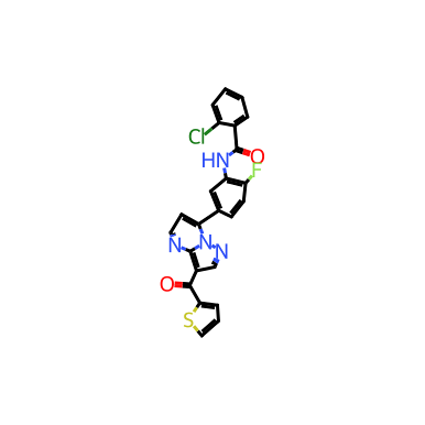 O=C(Nc1cc(-c2ccnc3c(C(=O)c4cccs4)cnn23)ccc1F)c1ccccc1Cl